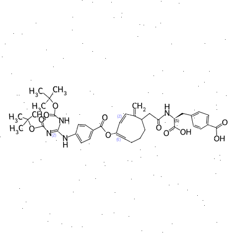 C=C1/C=C\C(OC(=O)c2ccc(N/C(=N/C(=O)OC(C)(C)C)NC(=O)OC(C)(C)C)cc2)=C/CCCC1CC(=O)N[C@@H](Cc1ccc(C(=O)O)cc1)C(=O)O